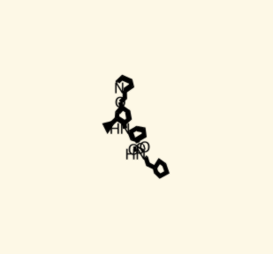 O=S(=O)(NCCC1CCCCC1)c1cccc(Nc2ccc(OCc3ccccn3)cc2C2CC2)c1